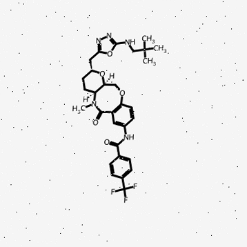 CN1C(=O)c2cc(NC(=O)c3ccc(C(F)(F)F)cc3)ccc2OC[C@@H]2O[C@H](Cc3nnc(NCC(C)(C)C)o3)CC[C@@H]21